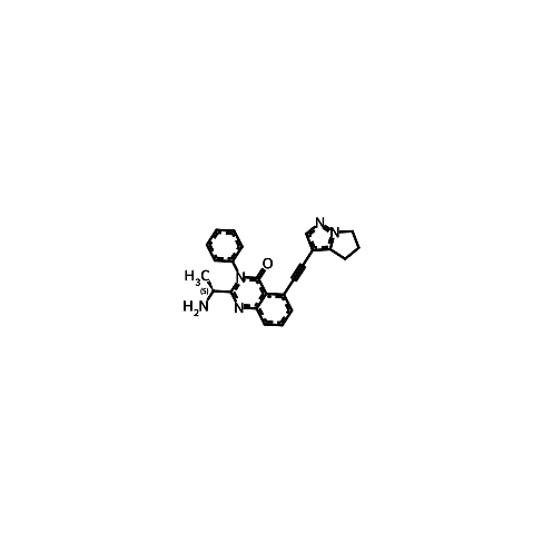 C[C@H](N)c1nc2cccc(C#Cc3cnn4c3CCC4)c2c(=O)n1-c1ccccc1